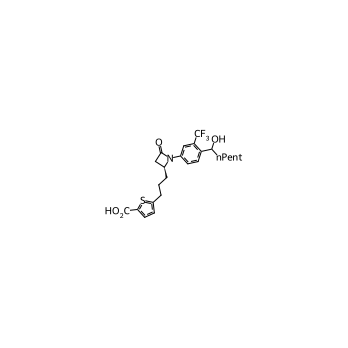 CCCCCC(O)c1ccc(N2C(=O)C[C@@H]2CCCc2ccc(C(=O)O)s2)cc1C(F)(F)F